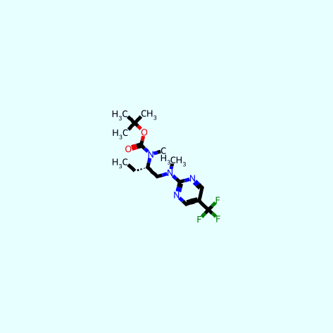 CC[C@@H](CN(C)c1ncc(C(F)(F)F)cn1)N(C)C(=O)OC(C)(C)C